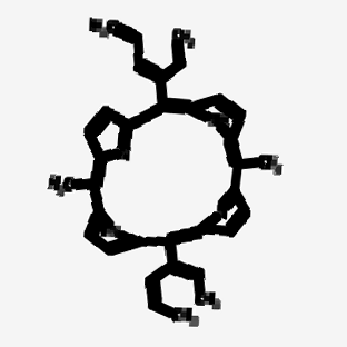 C=C/C=C(\C=C)c1c2nc(c(C)c3ccc([nH]3)c(C(/C=C\C)=C/C)c3nc(c(C)c4ccc1[nH]4)C=C3)C=C2